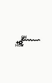 CCCCCCCCCCCCCC(C)(C(=O)O)c1cc(C(C)(C)C)c(O)c(C(C)(C)C)c1